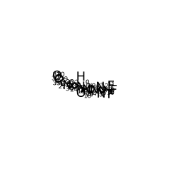 C[C@@H]1CN(c2ncc(C(F)(F)F)cn2)C[C@H](C)N1C(=O)NC1CC2(C1)CN(CC1CCOCC1)C2